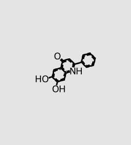 O=c1cc(-c2ccccc2)[nH]c2cc(O)c(O)cc12